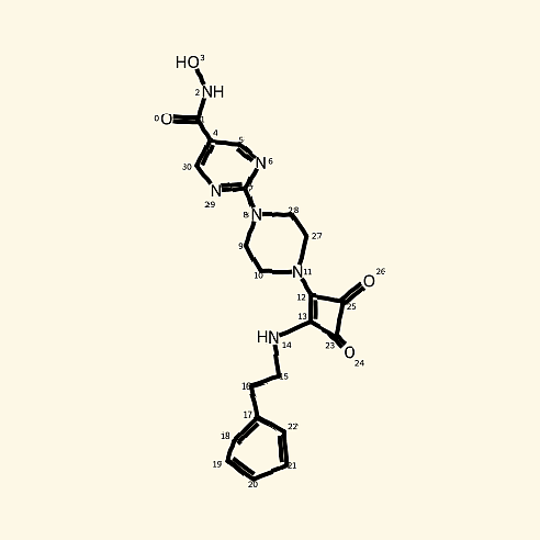 O=C(NO)c1cnc(N2CCN(c3c(NCCc4ccccc4)c(=O)c3=O)CC2)nc1